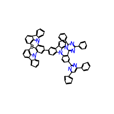 c1ccc(-c2cc(-c3ccccc3)nc(-c3ccc(-n4c5ccccc5c5cc(-c6cc7c8c(c6)-n6c9ccccc9c9cccc(c96)B8c6cccc8c9ccccc9n-7c68)ccc54)c(-c4nc(-c5ccccc5)nc(-c5ccccc5)n4)c3)n2)cc1